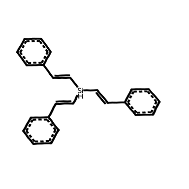 C(=C[SiH](C=Cc1ccccc1)C=Cc1ccccc1)c1ccccc1